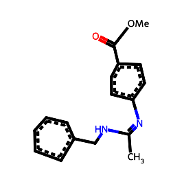 COC(=O)c1ccc(N=C(C)NCc2ccccc2)cc1